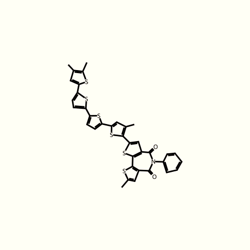 Cc1cc2c(=O)n(-c3ccccc3)c(=O)c3cc(-c4sc(-c5ccc(-c6ccc(-c7cc(C)c(C)s7)s6)s5)cc4C)sc3c2s1